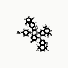 Cc1cc2c3c(c1)N(c1ccc(C(C)(C)C)cc1)c1c(oc4cc5c(cc14)C1(C)CCC5(C)C1)B3c1cc3c(cc1N2c1ccc2c(c1)C(C)(C)CCC2(C)C)C(C)(C)CCC3(C)C